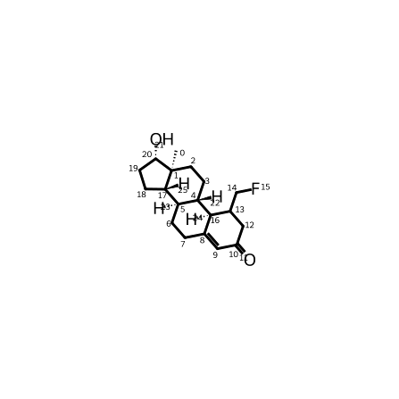 C[C@]12CC[C@H]3[C@@H](CCC4=CC(=O)CC(CF)[C@@H]43)[C@@H]1CC[C@@H]2O